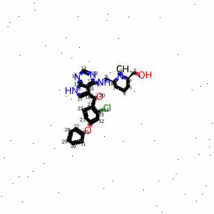 CN1[C@@H](CO)CCC[C@H]1CNc1ncnc2[nH]cc(C(=O)c3ccc(Oc4ccccc4)cc3Cl)c12